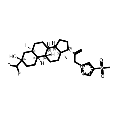 C=C(Cn1cc(S(C)(=O)=O)cn1)[C@H]1CC[C@H]2[C@@H]3CC[C@@H]4C[C@@](O)(C(F)F)CC[C@@H]4[C@H]3CC[C@]12C